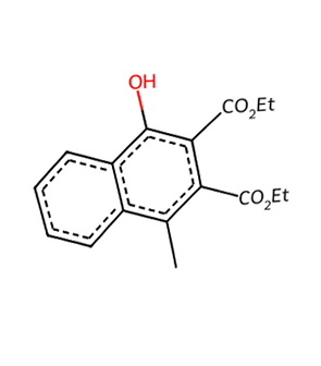 CCOC(=O)c1c(C(=O)OCC)c(O)c2ccccc2c1C